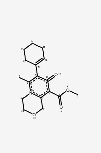 COC(=O)c1c2n(c(C)c(C3=CCCCC3)c1=O)CCOC2